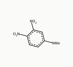 CNc1ccc([N+](=O)[O-])c([N+](=O)[O-])c1